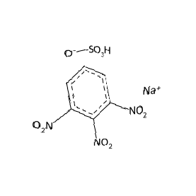 O=S(=O)([O-])O.O=[N+]([O-])c1cccc([N+](=O)[O-])c1[N+](=O)[O-].[Na+]